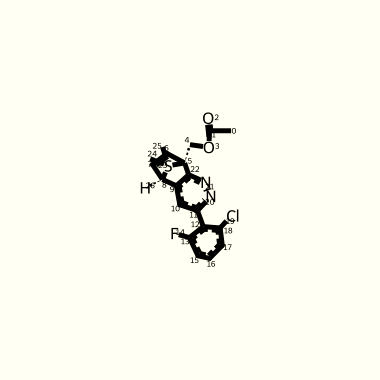 CC(=O)OC[C@]12C=C[C@H](c3cc(-c4c(F)cccc4Cl)nnc31)S2(C)C